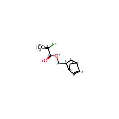 C=C(F)C(=O)OCC1CC2C=CC1C2